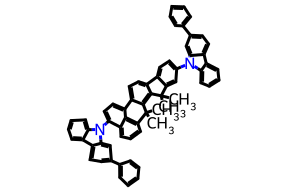 CC1(C)c2cc(-n3c4ccccc4c4ccc(-c5ccccc5)cc43)ccc2-c2ccc3c(c21)C(C)(C)c1cccc2c(-n4c5ccccc5c5ccc(-c6ccccc6)cc54)ccc-3c12